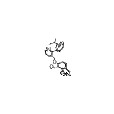 CC(C)n1nccc1-c1ncccc1COc1ccc2cnoc2c1C=O